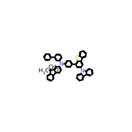 CC1(C)c2ccccc2-c2ccc(N(c3ccc(-c4cc(-n5c6ccccc6c6ccccc65)cc5c4sc4ccccc45)cc3)c3cccc(-c4ccccc4)c3)cc21